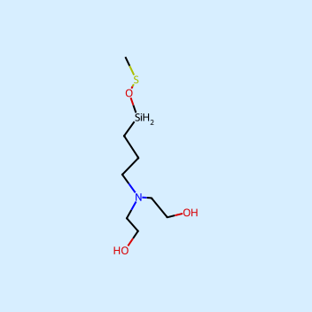 CSO[SiH2]CCCN(CCO)CCO